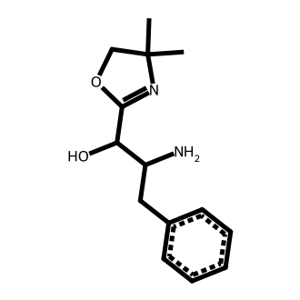 CC1(C)COC(C(O)C(N)Cc2ccccc2)=N1